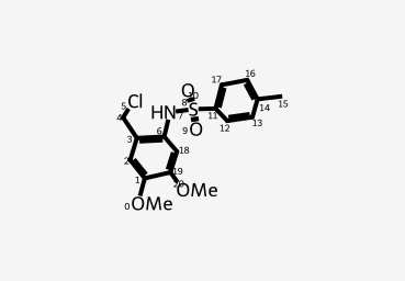 COc1cc(CCl)c(NS(=O)(=O)c2ccc(C)cc2)cc1OC